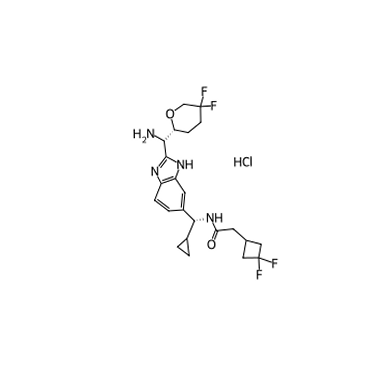 Cl.NC(c1nc2ccc([C@H](NC(=O)CC3CC(F)(F)C3)C3CC3)cc2[nH]1)[C@H]1CCC(F)(F)CO1